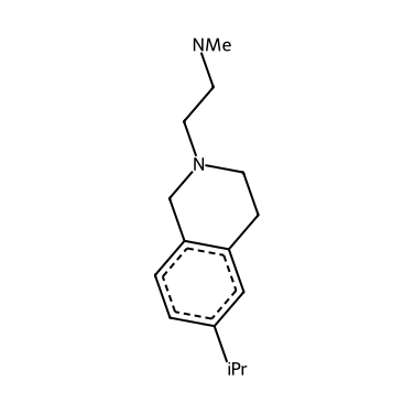 CNCCN1CCc2cc(C(C)C)ccc2C1